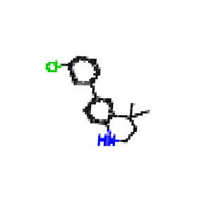 CC1(C)CCNc2ccc(-c3cccc(Cl)c3)cc21